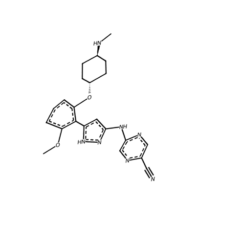 CN[C@H]1CC[C@H](Oc2cccc(OC)c2-c2cc(Nc3cnc(C#N)cn3)n[nH]2)CC1